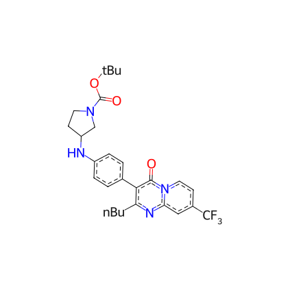 CCCCc1nc2cc(C(F)(F)F)ccn2c(=O)c1-c1ccc(NC2CCN(C(=O)OC(C)(C)C)C2)cc1